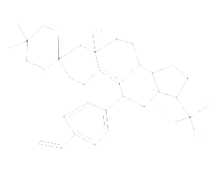 C=Cc1ccc(C2C[C@@]3(C)C(CCC3C(F)(F)C(F)(F)F)C3CCC4(O)CC5(CCC4=C23)OCC(C)(C)CO5)cc1